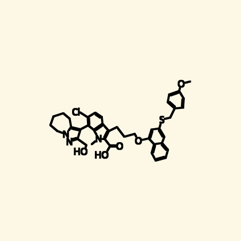 COc1ccc(CSc2cc(OCCCc3c(C(=O)O)n(C)c4c(-c5c(CO)nn6c5CCCCC6)c(Cl)ccc34)c3ccccc3c2)cc1